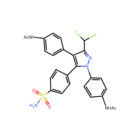 CC(=O)Nc1ccc(-c2c(C(F)F)nn(-c3ccc(NC(C)=O)cc3)c2-c2ccc(S(N)(=O)=O)cc2)cc1